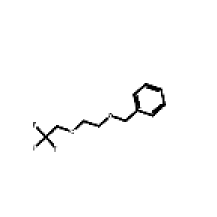 FC(F)(F)[CH]OCCOCc1ccccc1